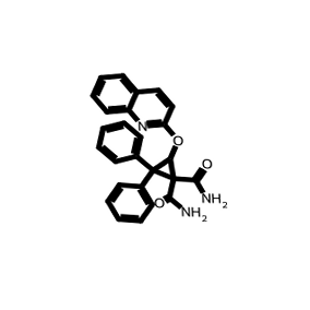 NC(=O)C1(C(N)=O)C(Oc2ccc3ccccc3n2)C1(c1ccccc1)c1ccccc1